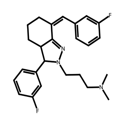 CN(C)CCCN1N=C2/C(=C\c3cccc(F)c3)CCCC2C1c1cccc(F)c1